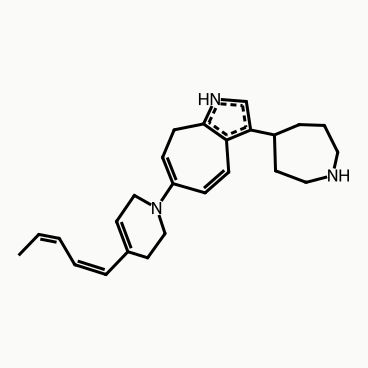 C/C=C\C=C/C1=CCN(C2=CCc3[nH]cc(C4CCCNCC4)c3C=C2)CC1